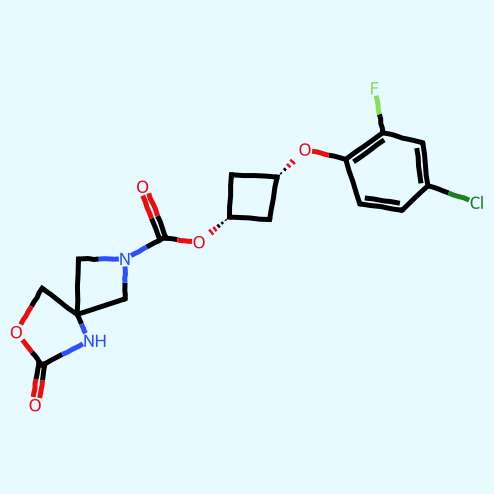 O=C1NC2(CO1)CN(C(=O)O[C@H]1C[C@@H](Oc3ccc(Cl)cc3F)C1)C2